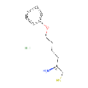 Cl.N[C@H](CS)CCCCOc1ccccc1